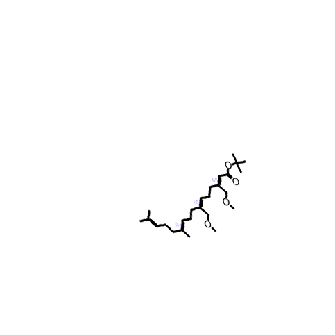 COC/C(=C\C(=O)OC(C)(C)C)CC/C=C(/CC/C=C(\C)CCC=C(C)C)COC